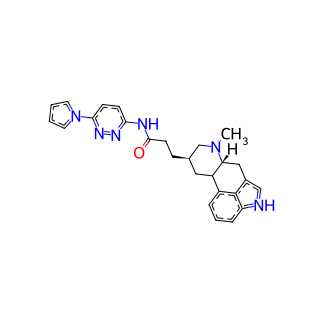 CN1C[C@H](CCC(=O)Nc2ccc(-n3cccc3)nn2)CC2c3cccc4[nH]cc(c34)C[C@H]21